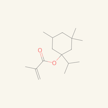 C=C(C)C(=O)OC1(C(C)C)CC(C)CC(C)(C)C1